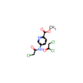 COC(=O)c1ccc(NC(=O)CCl)cn1.O=C(Cl)CCl